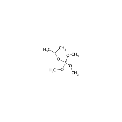 CO[Si](OC)(OC)OC(C)C